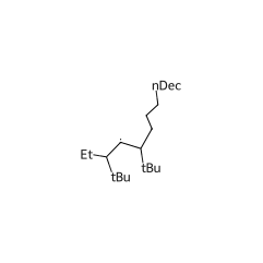 CCCCCCCCCCCCCC([CH]C(CC)C(C)(C)C)C(C)(C)C